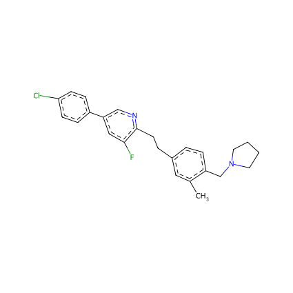 Cc1cc(CCc2ncc(-c3ccc(Cl)cc3)cc2F)ccc1CN1CCCC1